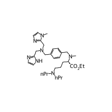 CCCN(CCC)CCC[C@H](C(=O)OCC)N(C)Cc1ccc(CN(Cc2ncc[nH]2)Cc2nccn2C)cc1